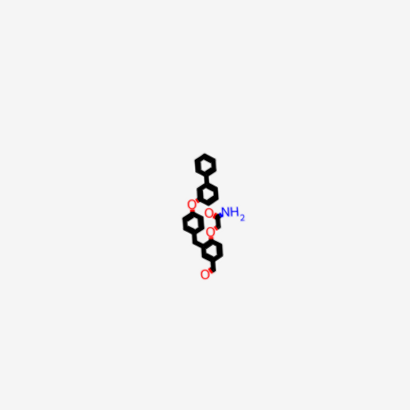 NC(=O)COc1ccc(C=O)cc1Cc1ccc(Oc2cccc(-c3ccccc3)c2)cc1